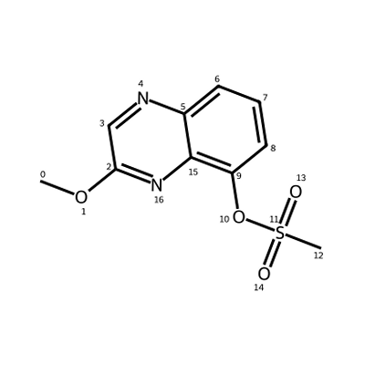 COc1cnc2cccc(OS(C)(=O)=O)c2n1